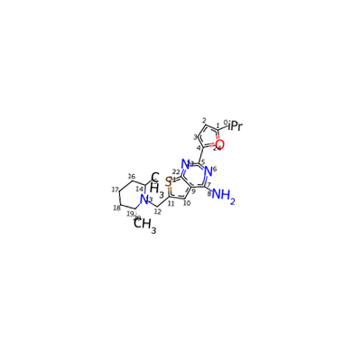 CC(C)c1ccc(-c2nc(N)c3cc(CN4C(C)CCC[C@H]4C)sc3n2)o1